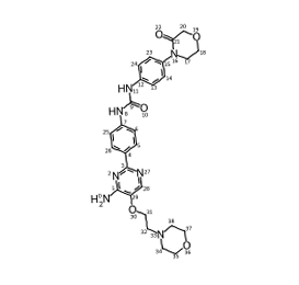 Nc1nc(-c2ccc(NC(=O)Nc3ccc(N4CCOCC4=O)cc3)cc2)ncc1OCCN1CCOCC1